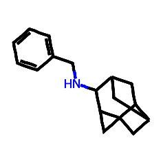 c1ccc(CNC2C3CC4CC5(CC25)C4C3)cc1